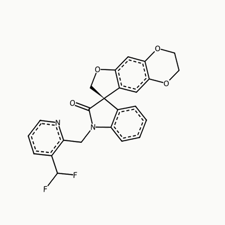 O=C1N(Cc2ncccc2C(F)F)c2ccccc2[C@]12COc1cc3c(cc12)OCCO3